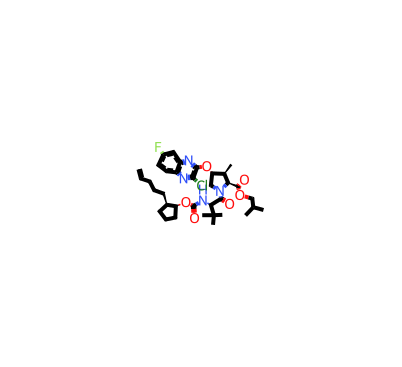 C=CCCC[C@@H]1CCC[C@H]1OC(=O)N[C@H](C(=O)N1C[C@H](Oc2nc3cc(F)ccc3nc2Cl)[C@@H](C)[C@H]1C(=O)OCC(C)C)C(C)(C)C